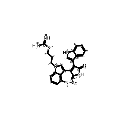 CC(=O)Nc1cccc2c1c(C1=C(c3c[nH]c4ccccc34)C(=O)NC1=O)cn2CCCSC(=N)N